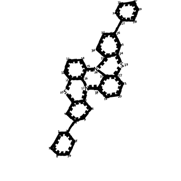 c1ccc(-c2ccc3c(c2)sc2cccc4c2-n3c2cccc3sc5cc(-c6ccccc6)ccc5n4-c32)cc1